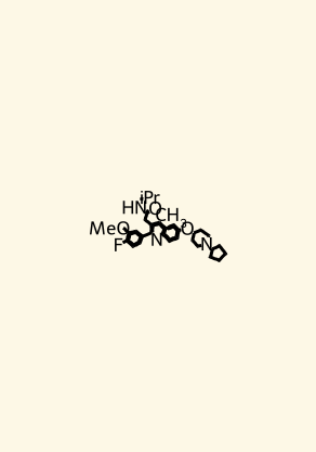 COc1cc(-c2nc3ccc(OC4CCN(C5CCCC5)CC4)cc3c(C)c2CC(=O)NC(C)C)ccc1F